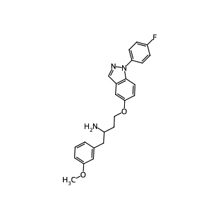 COc1cccc(CC(N)CCOc2ccc3c(cnn3-c3ccc(F)cc3)c2)c1